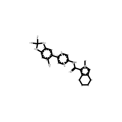 Cn1cc2c(c1C(=O)Nc1cnc(-c3cc4c(cc3Cl)OC(F)(F)O4)cn1)CCCC2